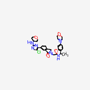 CC(NC(=O)CN1Cc2ccc(-c3nc(NC4CCOCC4)ncc3Cl)cc2C1=O)c1ccc(N2CCOCC2)cc1